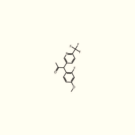 COc1ccc(C(C(C)=O)c2ccc(C(F)(F)F)nc2)c(F)c1